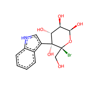 OC[C@@]1(Br)O[C@H](O)[C@H](O)[C@@H](O)[C@]1(O)c1c[nH]c2ccccc12